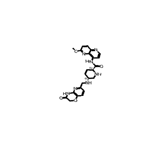 COc1ccc2nccc(NC(=O)[C@@H]3CC[C@@H](NCc4ccc5c(n4)NC(=O)CO5)CN3)c2n1